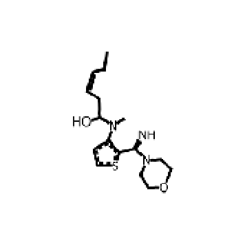 CC/C=C\CC(O)N(C)c1ccsc1C(=N)N1CCOCC1